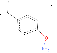 CCc1ccc(ON)cc1